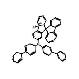 C1=CCC(c2ccc(N(c3ccc(-c4ccccc4)cc3)c3ccc4c(c3)C3(c5ccccc5-c5ccccc53)C3C=CC=C[C@@H]43)cc2)C=C1